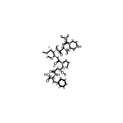 CC[C@H](C)[C@@H]([C@@H](CC(=O)N1CCC[C@H]1[C@H](OC)[C@@H](C)C(=O)NC(Cc1ccccc1)C(=O)O)OC)N(C)C(=O)[C@@H](/N=C(/N(C)C)N1CCNCC1)C(C)C